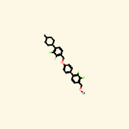 CCOCc1ccc(-c2ccc(OCc3ccc(C4CCC(C)CC4)c(F)c3F)cc2)c(F)c1F